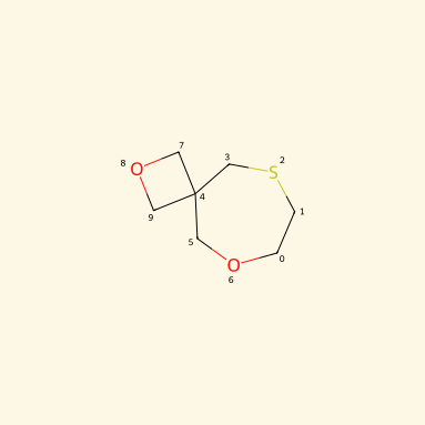 C1CSCC2(CO1)COC2